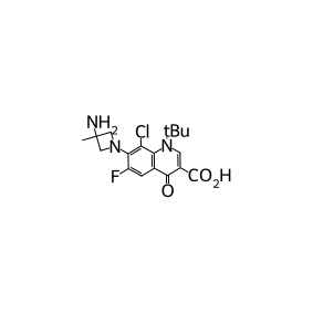 CC1(N)CN(c2c(F)cc3c(=O)c(C(=O)O)cn(C(C)(C)C)c3c2Cl)C1